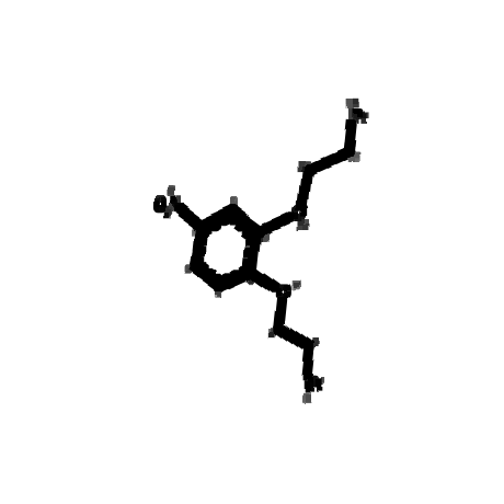 CC(C)CCOc1ccc([N+](=O)[O-])cc1OCCC(C)C